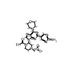 CCC(=O)N1CCN(C[SH](=O)=O)CC1n1cnc2c(N3CCOCC3)nc(-c3cnc(N)nc3)nc21